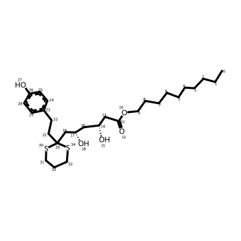 CCCCCCCCCCOC(=O)C[C@H](O)C[C@H](O)CC1(CCc2ccc(O)cc2)SCCCS1